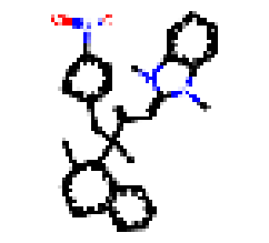 C=C(C=C1N(C)c2ccccc2N1C)C(C)(Cc1ccc([N+](=O)[O-])cc1)c1c(C)ccc2ccccc12